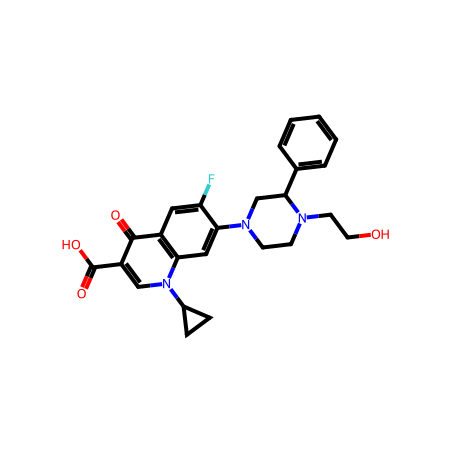 O=C(O)c1cn(C2CC2)c2cc(N3CCN(CCO)C(c4ccccc4)C3)c(F)cc2c1=O